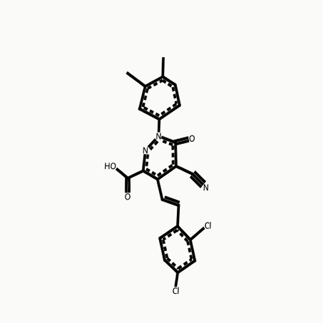 Cc1ccc(-n2nc(C(=O)O)c(/C=C/c3ccc(Cl)cc3Cl)c(C#N)c2=O)cc1C